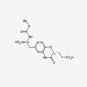 CC(C)(C)OC(=O)N[C@@H](Cc1ccc2c(c1)NC(=O)[C@@H](CCC(=O)O)O2)C(=O)O